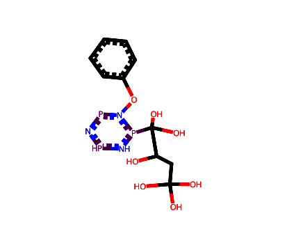 OC(CC(O)(O)O)C(O)(O)p1[nH][pH]npn1Oc1ccccc1